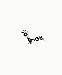 Cc1cc(CSc2ccc(C(=N)N)cc2)cc(CSc2ccc(C(=N)N)cc2)c1